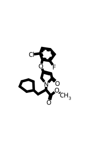 COC(=O)C(CC1CCCCC1)N1CC(Oc2c(F)cccc2Cl)=CC1=O